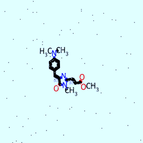 COC(=O)/C=C/C1=NC(=C\c2ccc(N(C)C)cc2)/C(=O)N1C